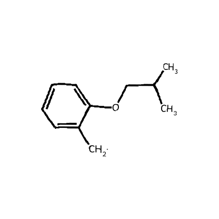 [CH2]c1ccccc1OCC(C)C